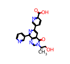 C[C@@H](CO)n1cnc2c(-c3cccnc3)nc(-c3ccc(C(=O)O)nc3)cc2c1=O